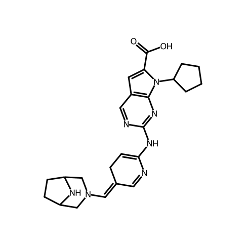 O=C(O)c1cc2cnc(NC3=CCC(=CN4CC5CCC(C4)N5)C=N3)nc2n1C1CCCC1